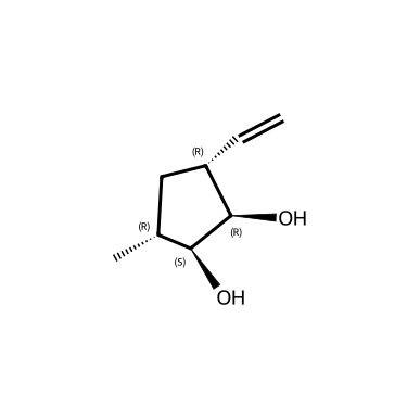 C=C[C@H]1C[C@@H](C)[C@H](O)[C@@H]1O